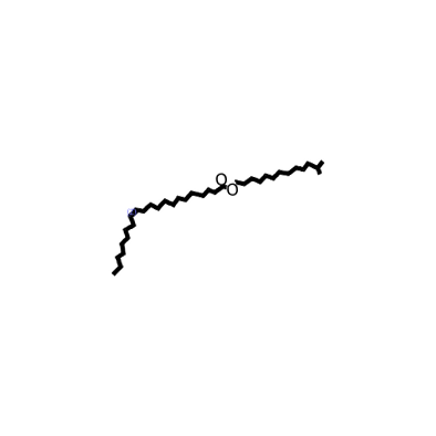 CCCCCCCC/C=C\CCCCCCCCCCCC(=O)OCCCCCCCCCCCC(C)C